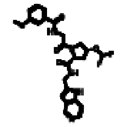 COc1cccc(C(=O)NCC(=O)N2C[C@H](OC(F)F)C[C@H]2C(=O)NCc2cc3cnccc3[nH]2)c1